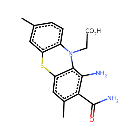 Cc1ccc2c(c1)Sc1cc(C)c(C(N)=O)c(N)c1N2CC(=O)O